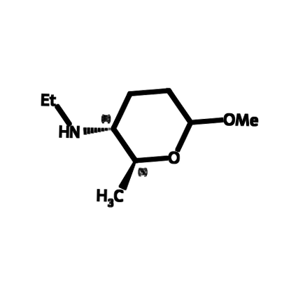 CCN[C@@H]1CCC(OC)O[C@H]1C